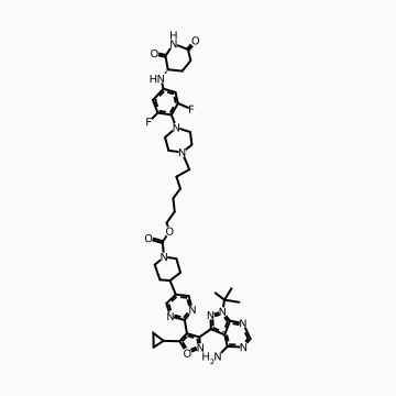 CC(C)(C)n1nc(-c2noc(C3CC3)c2-c2ncc(C3CCN(C(=O)OCCCCCCN4CCN(c5c(F)cc(N[C@H]6CCC(=O)NC6=O)cc5F)CC4)CC3)cn2)c2c(N)ncnc21